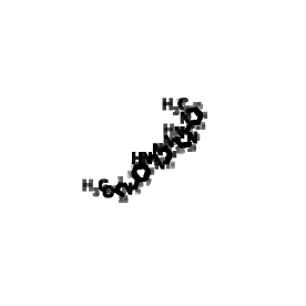 COC1CN(Cc2ccc(Nc3nccc(Nc4ccnc(-c5cccc(C)n5)n4)n3)cc2)C1